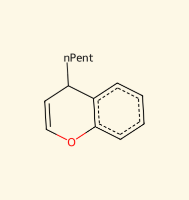 CCCCCC1C=COc2ccccc21